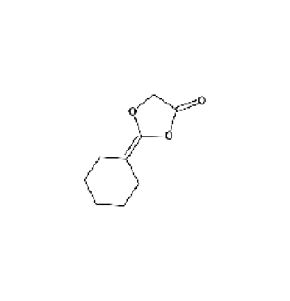 O=C1COC(=C2CCCCC2)O1